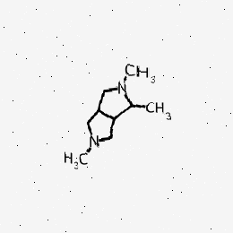 CC1C2CN(C)CC2CN1C